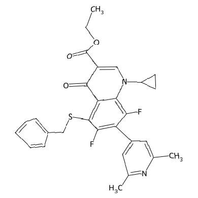 CCOC(=O)c1cn(C2CC2)c2c(F)c(-c3cc(C)nc(C)c3)c(F)c(SCc3ccccc3)c2c1=O